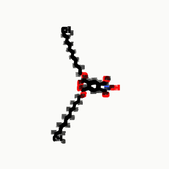 CCCCCCCCCCCCOC(=O)c1cc2c(cc1C(=O)OCCCCCCCCCCCC)C(=O)N(O)C2=O